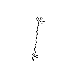 C=CC(=O)OCCCCCCCCCCCCCC[Si](OC)(OC)OC